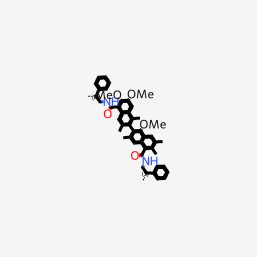 COc1cc2c(C)c(-c3c(C)cc4c(C(=O)NC[C@@H](C)c5ccccc5)c(C)c(C)cc4c3OC)c(C)cc2c(C(=O)NC[C@H](C)c2ccccc2)c1OC